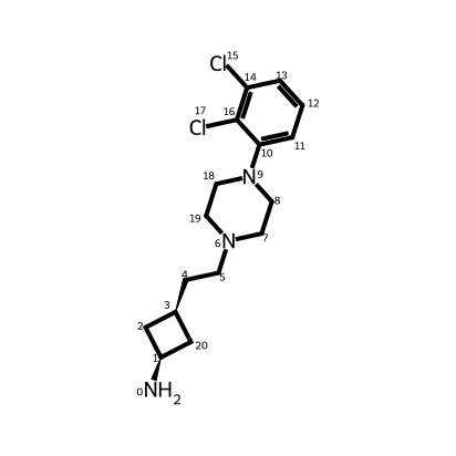 N[C@H]1C[C@@H](CCN2CCN(c3cccc(Cl)c3Cl)CC2)C1